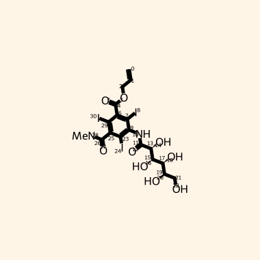 C=CCOC(=O)c1c(I)c(NC(=O)[C@H](O)[C@@H](O)[C@H](O)[C@H](O)CO)c(I)c(C(=O)NC)c1I